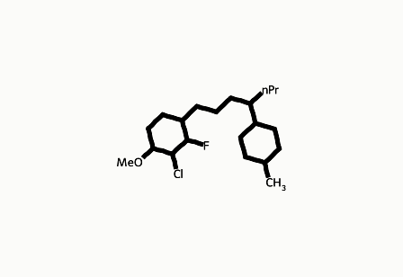 CCCC(CCCC1CCC(OC)C(Cl)C1F)C1CCC(C)CC1